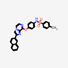 Cc1ccc(S(=O)(=O)Nc2ccc(Oc3nccn4cc(-c5ccc6ccccc6c5)nc34)cc2)cc1